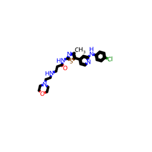 Cc1nc(NC(=O)CCNCCN2CCOCC2)sc1-c1ccnc(Nc2ccc(Cl)cc2)c1